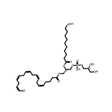 CC/C=C\C/C=C\C/C=C\C/C=C\C/C=C\CCCC(=O)OC[C@H](COP(=O)(O)OC[C@@H](O)CO)OC(=O)CCCCCCCCCCCCCCCCCCC